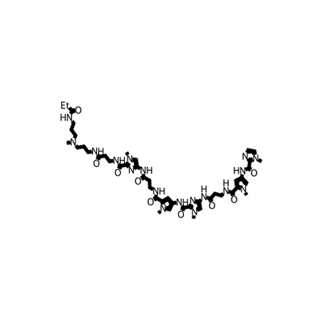 CCC(=O)NCCCN(C)CCCNC(=O)CCNC(=O)c1nc(NC(=O)CCNC(=O)c2cc(NC(=O)c3nc(NC(=O)CCNC(=O)c4cc(NC(=O)c5nccn5C)cn4C)cn3C)cn2C)cn1C